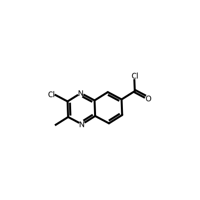 Cc1nc2ccc(C(=O)Cl)cc2nc1Cl